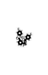 O=C(Oc1c(C(=O)Nc2ccc(F)cc2)cccc1C(F)(F)F)c1ccc(F)cc1